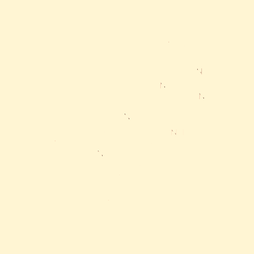 Cc1nc(Nc2nc(-c3ccccc3C)nc3ccccc23)n[nH]1